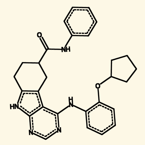 O=C(Nc1ccccc1)C1CCc2[nH]c3ncnc(Nc4ccccc4OC4CCCC4)c3c2C1